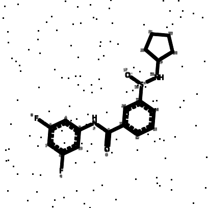 O=C(Nc1cc(F)cc(F)c1)c1cccc([S+]([O-])NC2CCCC2)c1